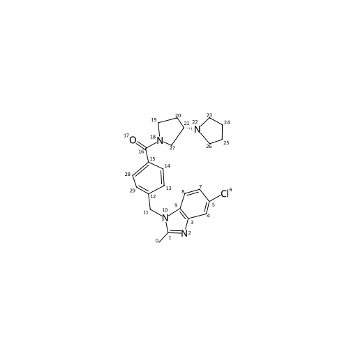 Cc1nc2cc(Cl)ccc2n1Cc1ccc(C(=O)N2CC[C@H](N3CCCC3)C2)cc1